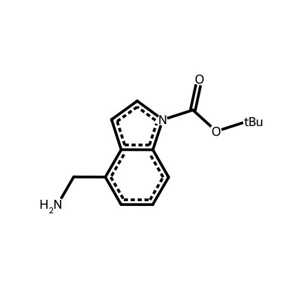 CC(C)(C)OC(=O)n1ccc2c(CN)cccc21